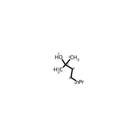 [CH2]C(C)(O)CCCCC